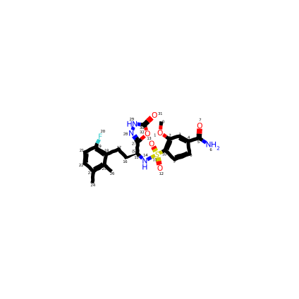 COc1cc(C(N)=O)ccc1S(=O)(=O)N[C@@H](CCc1c(F)ccc(C)c1C)c1n[nH]c(=O)o1